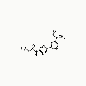 C=CC(=O)Nc1cnc(-c2cncc(C(C)C=O)c2)cn1